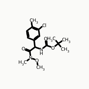 CON(C)C(=O)C(NC(=O)OC(C)(C)C)c1ccc(C)c(Cl)c1